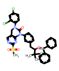 CC(C)(C)C(Cc1cccc(N2C(=O)N(c3ccc(Cl)cc3Cl)Cc3cnc(S(C)(=O)=O)nc32)c1)O[SiH](c1ccccc1)c1ccccc1